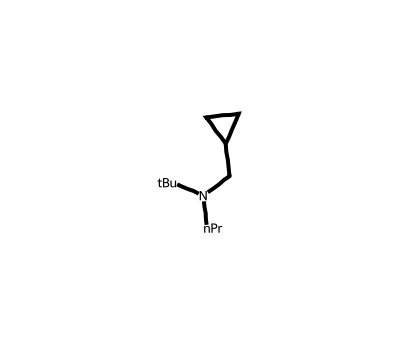 CCCN(CC1CC1)C(C)(C)C